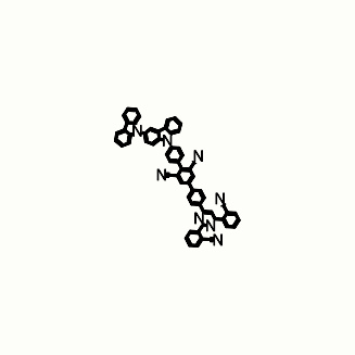 N#Cc1ccccc1-c1cc(-c2ccc(-c3cc(C#N)c(-c4ccc(-n5c6ccccc6c6cc(-n7c8ccccc8c8ccccc87)ccc65)cc4)c(C#N)c3)cc2)nc(-c2ccccc2C#N)n1